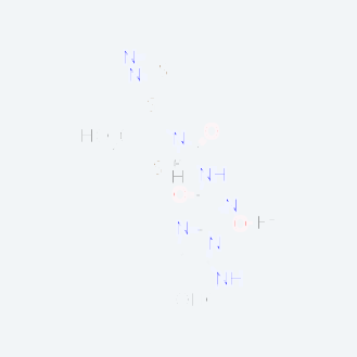 CCON=C(C(=O)NC1C(=O)N2CC(CSc3nncs3)(C(=O)O)CS[C@H]12)c1nccc(NC=O)n1